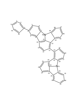 c1ccc(-c2ccc3c(c2)c2ccc(-c4cccc5c4c4cccc6c7ccccc7n5c64)c4c5ccccc5n3c24)cc1